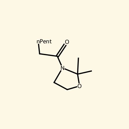 CCCCCCC(=O)N1CCOC1(C)C